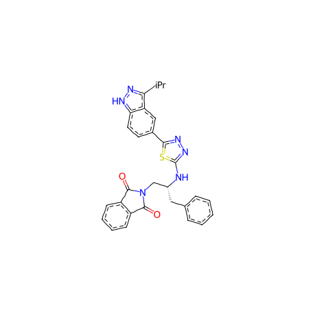 CC(C)c1n[nH]c2ccc(-c3nnc(N[C@H](Cc4ccccc4)CN4C(=O)c5ccccc5C4=O)s3)cc12